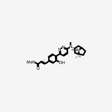 CNC(=O)/C=C/c1ccc(-c2ccc(N(C)[C@@H]3CC4CC[C@@](C)(C3)N4)nn2)c(O)c1